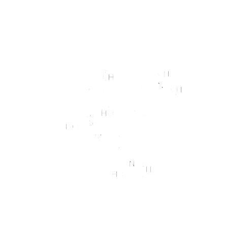 CN(C)c1ccc(C(O)c2ccc(N(C)C)cc2)cc1.Cc1ccc(S(=O)O)cc1